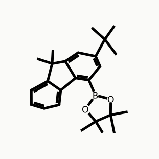 CC(C)(C)c1cc(B2OC(C)(C)C(C)(C)O2)c2c(c1)C(C)(C)c1ccccc1-2